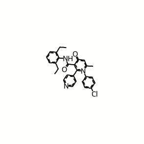 CCc1cccc(CC)c1NC(=O)c1c(-c2ccncc2)n(-c2ccc(Cl)cc2)c(C)cc1=O